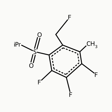 Cc1c(F)c(F)c(F)c(S(=O)(=O)C(C)C)c1CF